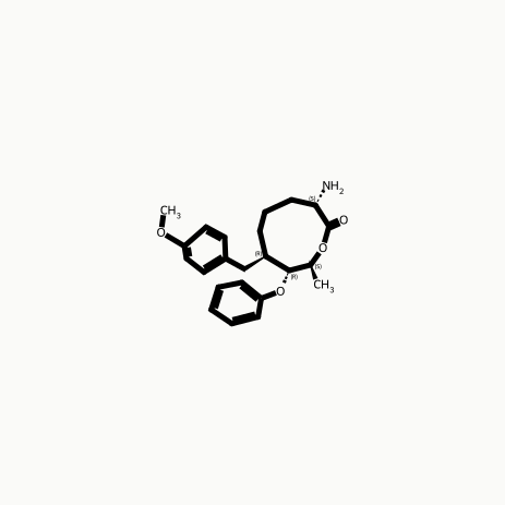 COc1ccc(C[C@H]2CCC[C@H](N)C(=O)O[C@@H](C)[C@@H]2Oc2ccccc2)cc1